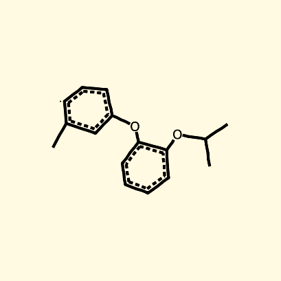 Cc1[c]ccc(Oc2ccccc2OC(C)C)c1